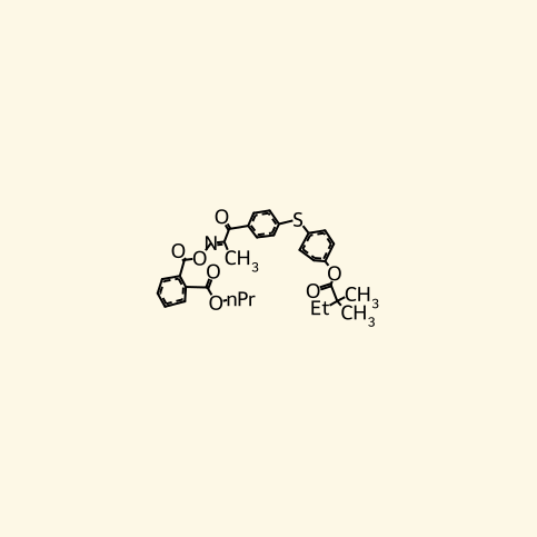 CCCOC(=O)c1ccccc1C(=O)O/N=C(\C)C(=O)c1ccc(Sc2ccc(OC(=O)C(C)(C)CC)cc2)cc1